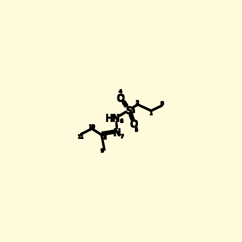 CCCS(=O)(=O)NN=C(C)CC